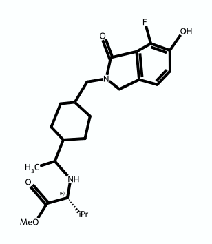 COC(=O)[C@H](NC(C)C1CCC(CN2Cc3ccc(O)c(F)c3C2=O)CC1)C(C)C